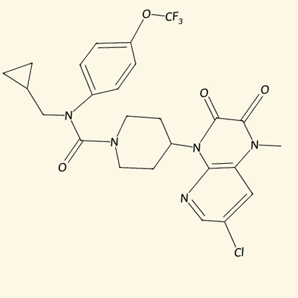 Cn1c(=O)c(=O)n(C2CCN(C(=O)N(CC3CC3)c3ccc(OC(F)(F)F)cc3)CC2)c2ncc(Cl)cc21